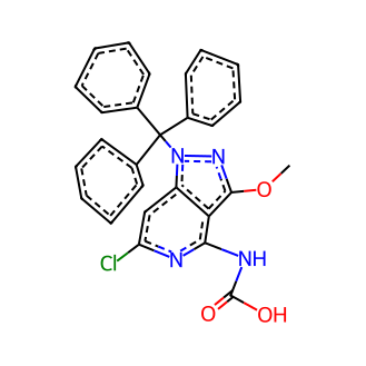 COc1nn(C(c2ccccc2)(c2ccccc2)c2ccccc2)c2cc(Cl)nc(NC(=O)O)c12